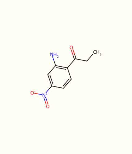 CCC(=O)c1ccc([N+](=O)[O-])cc1N